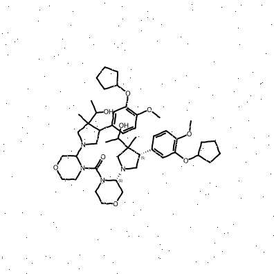 COc1ccc(C2CN(C3COCCN3C(=O)N3CCOC[C@H]3N3C[C@@H](c4ccc(OC)c(OC5CCCC5)c4)C(C)(C(C)O)C3)CC2(C)C(C)O)cc1OC1CCCC1